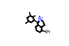 Cc1cc(C)c(C)c(-c2c3cccc(C(C)C)c3cc[n+]2C)c1